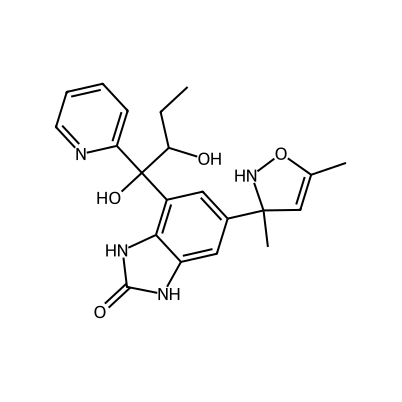 CCC(O)C(O)(c1ccccn1)c1cc(C2(C)C=C(C)ON2)cc2[nH]c(=O)[nH]c12